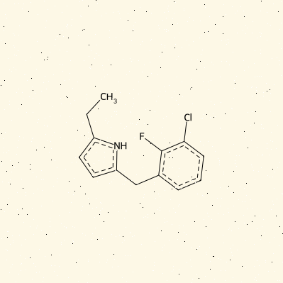 CCc1ccc(Cc2cccc(Cl)c2F)[nH]1